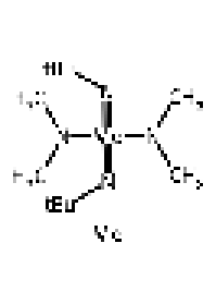 C[N](C)[Mo](=[N]C(C)(C)C)(=[N]C(C)(C)C)[N](C)C.[Mo]